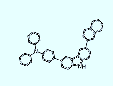 c1ccc(N(c2ccccc2)c2ccc(-c3ccc4[nH]c5ccc(-c6ccc7ccccc7c6)cc5c4c3)cc2)cc1